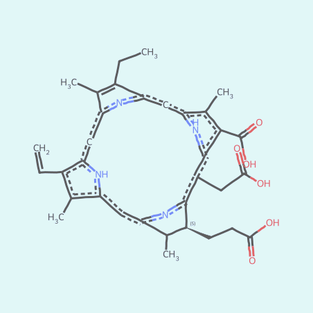 C=Cc1c(C)c2cc3nc(c(CC(=O)O)c4[nH]c(cc5nc(cc1[nH]2)C(C)=C5CC)c(C)c4C(=O)O)[C@@H](CCC(=O)O)C3C